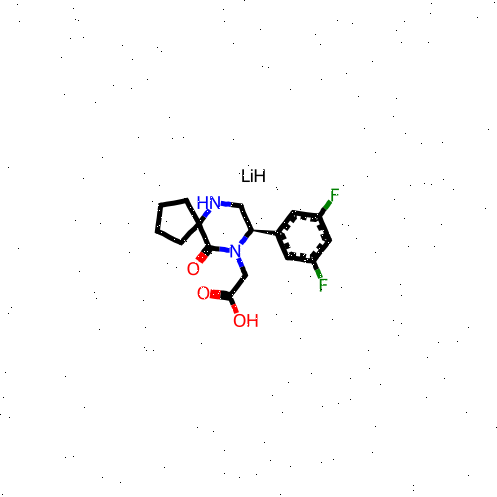 O=C(O)CN1C(=O)C2(CCCC2)NC[C@H]1c1cc(F)cc(F)c1.[LiH]